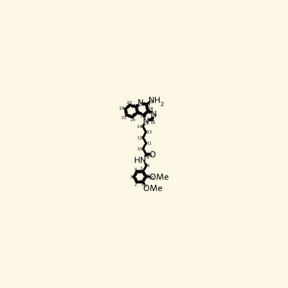 COc1cccc(CNC(=O)CCCCCn2cnc3c(N)nc4ccccc4c32)c1OC